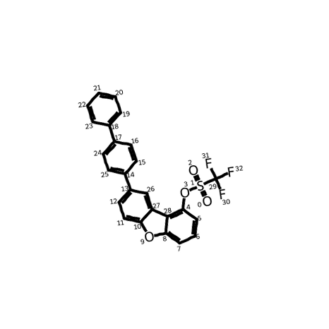 O=S(=O)(Oc1cccc2oc3ccc(-c4ccc(-c5ccccc5)cc4)cc3c12)C(F)(F)F